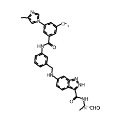 Cc1cn(-c2cc(C(=O)Nc3cccc(CNc4ccc5c(C(=O)N[C@@H](C)C=O)[nH]nc5c4)c3)cc(C(F)(F)F)c2)cn1